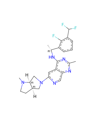 Cc1nc(N[C@H](C)c2cccc(C(F)F)c2F)c2cc(N3C[C@H]4CCN(C)[C@H]4C3)ncc2n1